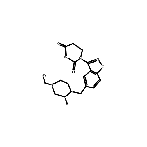 CC(C)CN1CCN(Cc2ccc3onc(N4CCC(=O)NC4=O)c3c2)[C@@H](C)C1